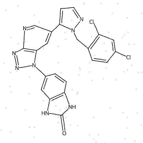 O=c1[nH]c2ccc(-n3nnc4ncc(-c5ccnn5Cc5ccc(Cl)cc5Cl)cc43)cc2[nH]1